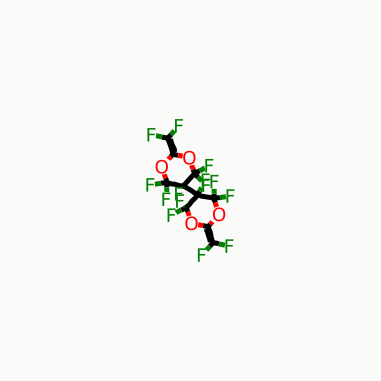 FC(F)=C1OC(F)(F)C(F)(C2(F)C(F)(F)OC(=C(F)F)OC2(F)F)C(F)(F)O1